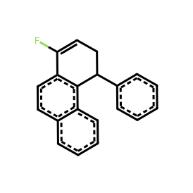 FC1=CCC(c2ccccc2)c2c1ccc1ccccc21